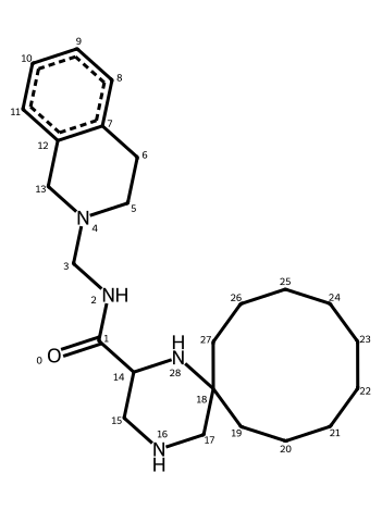 O=C(NCN1CCc2ccccc2C1)C1CNCC2(CCCCCCCCC2)N1